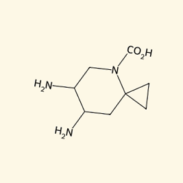 NC1CN(C(=O)O)C2(CC2)CC1N